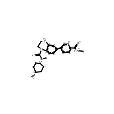 CCN(C(=O)N(C)[C@H]1CC[C@@H](O)CC1)c1ccc(-c2ccc(C(=O)NC)nc2)cc1F